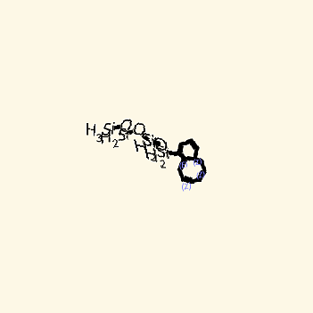 [SiH3]O[SiH2]O[SiH2]O[SiH2]c1cccc2/c1=C\C=C/C=C\C=2